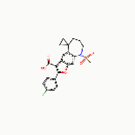 CS(=O)(=O)N1CCCC2(CC2)c2cc3c(C(=O)O)c(-c4ccc(F)cc4)oc3cc21